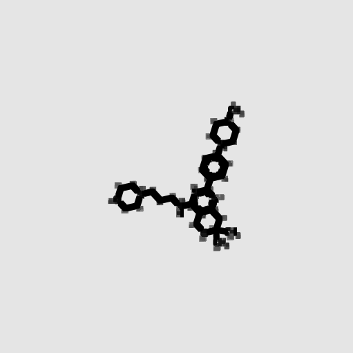 CN1CCN(c2ccc(-c3nc4c(c(NCCCN5CCOCC5)n3)COC(C)(C)C4)cc2)CC1